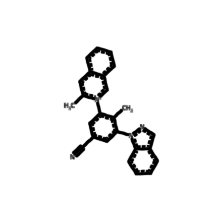 Cc1c(-n2ncc3ccccc32)cc(C#N)cc1-[n+]1cc2ccccc2cc1C